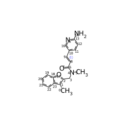 Cc1c(CN(C)C(=O)/C=C/c2ccc(N)nc2)oc2ccccc12